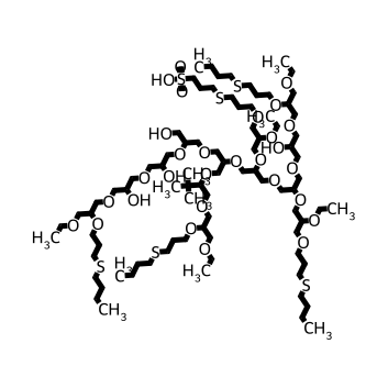 CCCCSCCCOCC(COC(COCC(O)COCC(COCC)OCCCSCCCC)COCC(COC(COCC(CO)OCC(O)COCC(O)COCC(COCC)OCCCSCCCC)COC(COCC(COCC)OCCCSCCCC)C(C)(C)C)OCC(COCCCSCCCS(=O)(=O)O)OCC)OCC